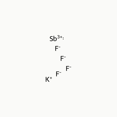 [F-].[F-].[F-].[F-].[K+].[Sb+3]